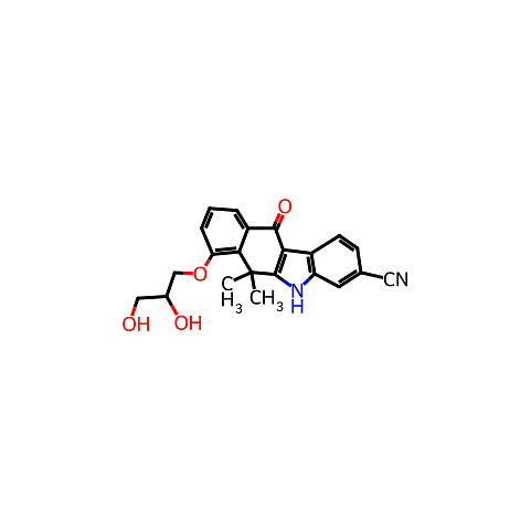 CC1(C)c2[nH]c3cc(C#N)ccc3c2C(=O)c2cccc(OCC(O)CO)c21